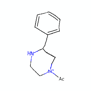 CC(=O)[N+]1CCNC(c2ccccc2)C1